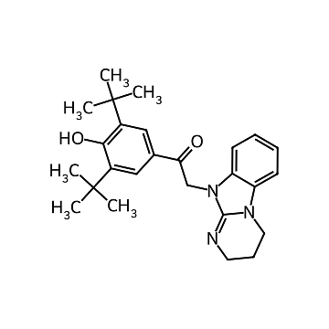 CC(C)(C)c1cc(C(=O)CN2C3=NCCCN3c3ccccc32)cc(C(C)(C)C)c1O